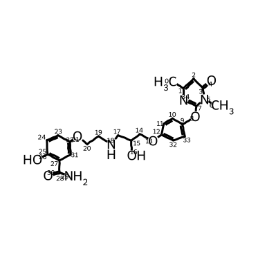 Cc1cc(=O)n(C)c(Oc2ccc(OCC(O)CNCCOc3ccc(O)c(C(N)=O)c3)cc2)n1